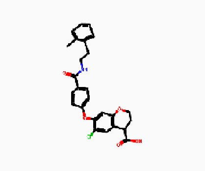 Cc1ccccc1CCNC(=O)c1ccc(Oc2cc3c(cc2Cl)C(C(=O)O)CCO3)cc1